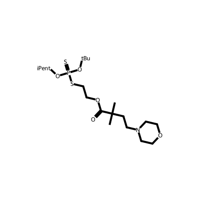 CCCC(C)OP(=S)(OC(C)(C)C)SCCOC(=O)C(C)(C)CCN1CCOCC1